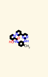 Cc1ccc(NC(=O)c2ncccc2O)cc1Nc1nccc(-c2cccnc2)n1